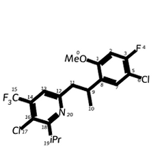 COc1cc(F)c(Cl)cc1C(C)Cc1cc(C(F)(F)F)c(Cl)c(C(C)C)n1